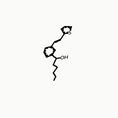 CCCCCC(O)c1cccc(C=Cc2cccs2)c1